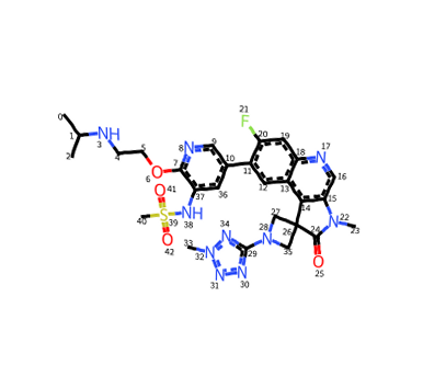 CC(C)NCCOc1ncc(-c2cc3c4c(cnc3cc2F)N(C)C(=O)C42CN(c3nnn(C)n3)C2)cc1NS(C)(=O)=O